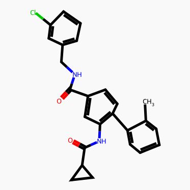 Cc1ccccc1-c1ccc(C(=O)NCc2cccc(Cl)c2)cc1NC(=O)C1CC1